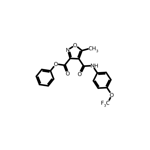 Cc1onc(C(=O)Oc2ccccc2)c1C(=O)Nc1ccc(OC(F)(F)F)cc1